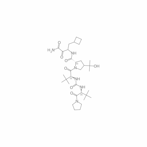 CC(C)(O)C1C[C@@H](C(=O)NC(CC2CCC2)C(=O)C(N)=O)N(C(=O)[C@@H](NC(=O)N[C@H](C(=O)N2CCCC2)C(C)(C)C)C(C)(C)C)C1